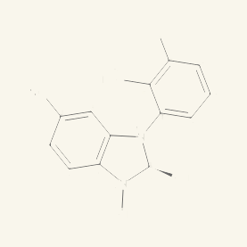 Cc1cccc(N2c3cc(C#N)ccc3N(C)[C@@H]2C)c1C